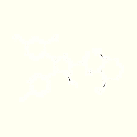 C[C@@H]1C(C(=O)NN2[C@H](C)CCC[C@@H]2C)=NN(c2ccc(Cl)cc2Cl)C1c1ccc(Cl)cc1